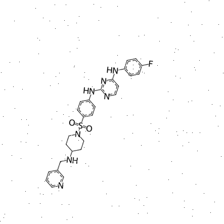 O=S(=O)(c1ccc(Nc2nccc(Nc3ccc(F)cc3)n2)cc1)N1CCC(NCc2cccnc2)CC1